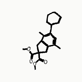 COC(=O)C1(C(=O)OC)Cc2c(C)cc(C3CCCCC3)c(C)c2C1